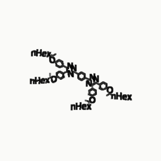 CCCCCCC(C)Oc1ccc(-c2nnc(-c3ccc(-c4nnc(-c5ccc(OC(C)CCCCCC)cc5)c(-c5ccc(OC(C)CCCCCC)cc5)n4)cc3)nc2-c2ccc(OC(C)CCCCCC)cc2)cc1